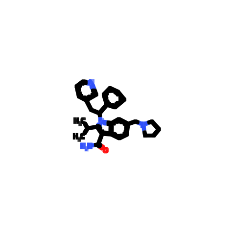 CC(C)c1c(C(N)=O)c2ccc(CN3CCCC3)cc2n1C(Cc1cccnc1)c1ccccc1